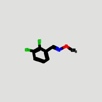 CO/N=C/c1cccc(Cl)c1Cl